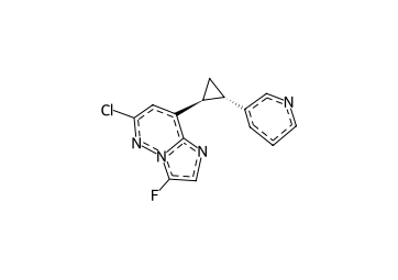 Fc1cnc2c([C@H]3C[C@@H]3c3cccnc3)cc(Cl)nn12